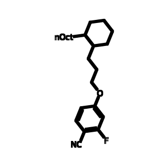 CCCCCCCCC1CCCCC1CCCOc1ccc(C#N)c(F)c1